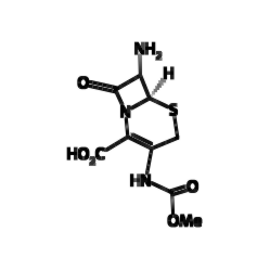 COC(=O)NC1=C(C(=O)O)N2C(=O)C(N)[C@H]2SC1